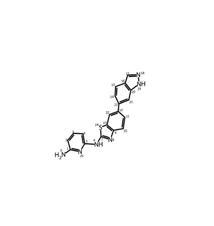 Nc1cccc(Nc2nc3ccc(-c4ccc5cn[nH]c5c4)cc3s2)n1